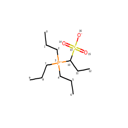 CCC[P+](CCC)(CCC)C(CC)S(=O)(=O)[O-]